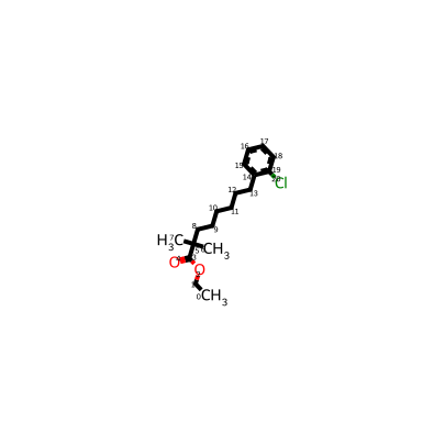 CCOC(=O)C(C)(C)CCCCCCc1ccccc1Cl